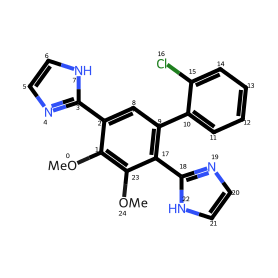 COc1c(-c2ncc[nH]2)[c]c(-c2ccccc2Cl)c(-c2ncc[nH]2)c1OC